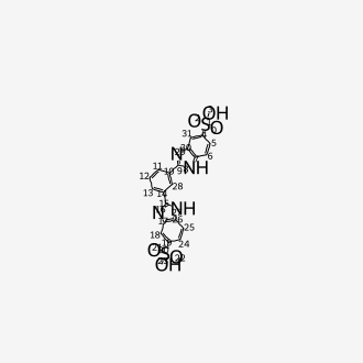 O=S(=O)(O)c1ccc2[nH]c(-c3cccc(-c4nc5cc(S(=O)(=O)O)ccc5[nH]4)c3)nc2c1